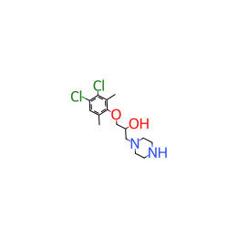 Cc1cc(Cl)c(Cl)c(C)c1OCC(O)CN1CCNCC1